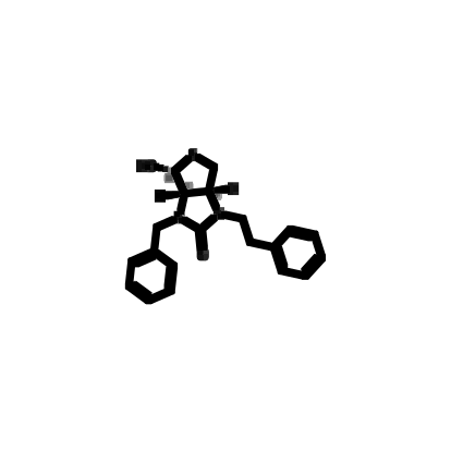 O=C1N(Cc2ccccc2)[C@@H]2[C@H](O)SC[C@@H]2N1CCc1ccccc1